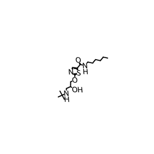 CCCCCCNC(=O)c1cnc(OCC(O)CNC(C)(C)C)s1